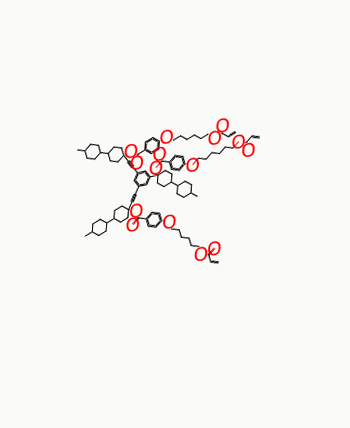 C=CC(=O)OCCCCCCOc1ccc(C(=O)OC2(C#Cc3cc(C#CC4(OC(=O)c5ccc(OCCCCCCOC(=O)C=C)cc5)CCC(C5CCC(C)CC5)CC4)cc(C4(OC(=O)c5ccc(OCCCCCCOC(=O)C=C)cc5)CCC(C5CCC(C)CC5)CC4)c3)CCC(C3CCC(C)CC3)CC2)cc1